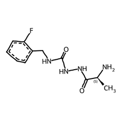 C[C@H](N)C(=O)NNC(=O)NCc1ccccc1F